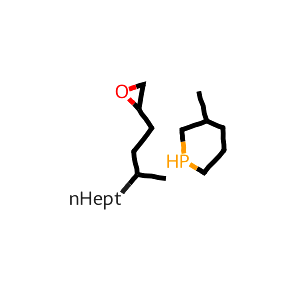 CC1CCCPC1.CCCCCCCC(C)CCC1CO1